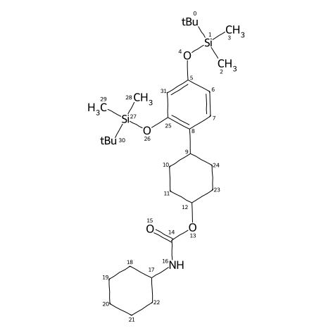 CC(C)(C)[Si](C)(C)Oc1ccc(C2CCC(OC(=O)NC3CCCCC3)CC2)c(O[Si](C)(C)C(C)(C)C)c1